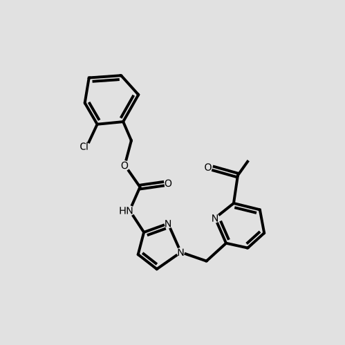 CC(=O)c1cccc(Cn2ccc(NC(=O)OCc3ccccc3Cl)n2)n1